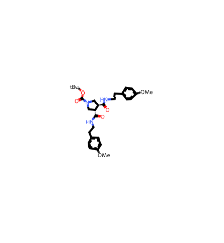 COc1ccc(CCNC(=O)[C@@H]2CN(C(=O)OC(C)(C)C)C[C@H]2C(=O)NCCc2ccc(OC)cc2)cc1